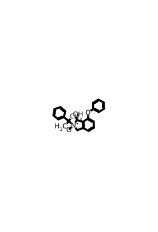 CC(C)(c1ccccc1)[N+]1([O-])Cc2cccc(Oc3ccccc3)c2C1O